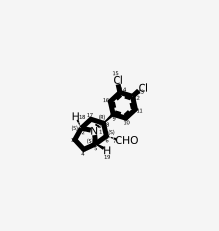 CN1[C@H]2CC[C@H]1[C@@H](C=O)[C@H](c1ccc(Cl)c(Cl)c1)C2